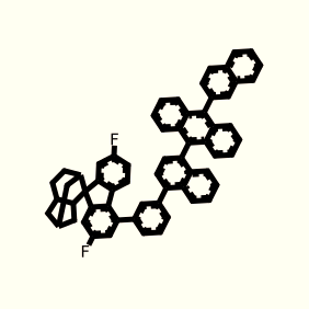 Fc1ccc2c(c1)C1(c3cc(F)cc(-c4cccc(-c5ccc(-c6c7ccccc7c(-c7ccc8ccccc8c7)c7ccccc67)c6ccccc56)c4)c3-2)C2CCC3CC(C2)CC31